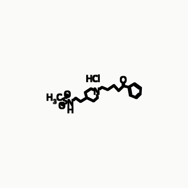 CS(=O)(=O)NCCC1CCN(CCCCC(=O)c2ccccc2)CC1.Cl